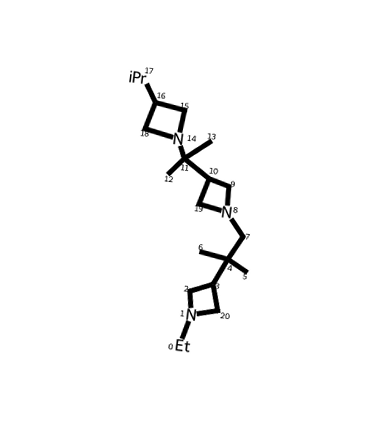 CCN1CC(C(C)(C)CN2CC(C(C)(C)N3CC(C(C)C)C3)C2)C1